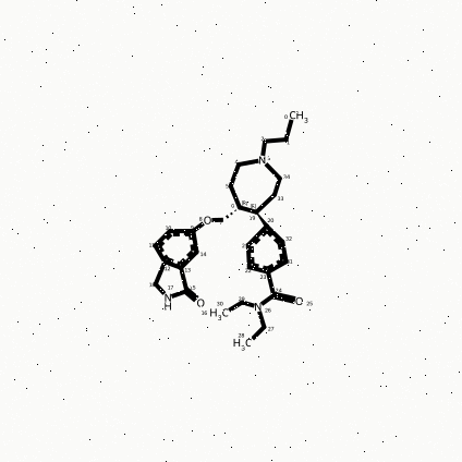 CCCN1CC[C@@H](COc2ccc3c(c2)C(=O)NC3)[C@H](c2ccc(C(=O)N(CC)CC)cc2)CC1